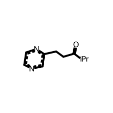 CC(C)C(=O)CCc1cnccn1